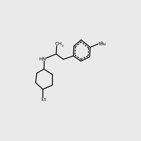 CCC1CCC(NC(C)Cc2ccc(C(C)(C)C)cc2)CC1